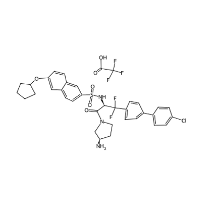 N[C@@H]1CCN(C(=O)[C@@H](NS(=O)(=O)c2ccc3cc(OC4CCCC4)ccc3c2)C(F)(F)c2ccc(-c3ccc(Cl)cc3)cc2)C1.O=C(O)C(F)(F)F